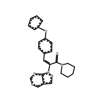 O=C(C(=Cc1ccc(Oc2ccccc2)cc1)n1ncc2cncnc21)N1CCCCC1